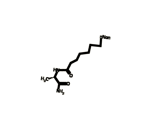 CCCCCCCCCCCCCCCC(=O)N[C@@H](C)C(N)=O